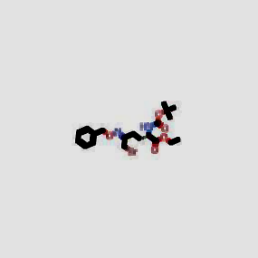 CCOC(=O)[C@H](CCC(CBr)=NOCc1ccccc1)NC(=O)OC(C)(C)C